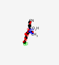 Cn1ccc(CN2Cc3cc4c(cc3CC2C(=O)N[C@@H](Cc2ccc(-c3ccc(C#N)cc3)cc2)C(=O)O)OC[C@H](c2ccc(OCc3ccc(Cl)c(Cl)c3)cc2)O4)n1